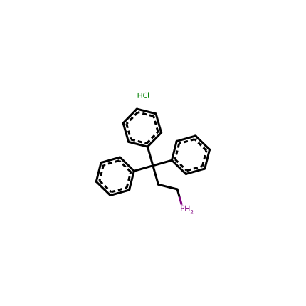 Cl.PCCC(c1ccccc1)(c1ccccc1)c1ccccc1